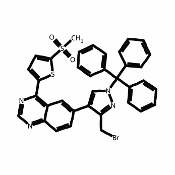 CS(=O)(=O)c1ccc(-c2ncnc3ccc(-c4cn(C(c5ccccc5)(c5ccccc5)c5ccccc5)nc4CBr)cc23)s1